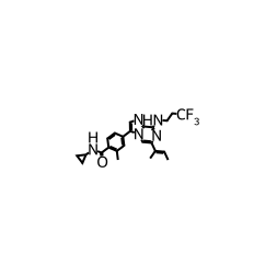 CC=C(C)c1cn2c(-c3ccc(C(=O)NC4CC4)c(C)c3)cnc2c(NCCC(F)(F)F)n1